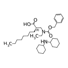 C1CCC(NC2CCCCC2)CC1.CCCCCCCC[C@H](CN(CC)C(=O)OCc1ccccc1)C(=O)O